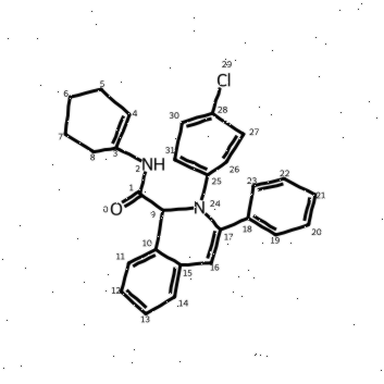 O=C(NC1=CCCCC1)C1c2ccccc2C=C(c2ccccc2)N1c1ccc(Cl)cc1